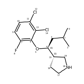 CC(C)C[C@H](Oc1c(F)ccc(Cl)c1Cl)[C@H]1CCNC1